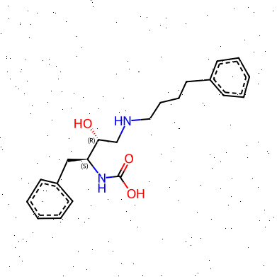 O=C(O)N[C@@H](Cc1ccccc1)[C@H](O)CNCCCCc1ccccc1